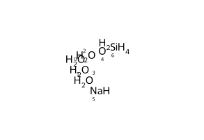 O.O.O.O.O.[NaH].[SiH4]